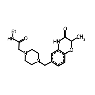 CCNC(=O)CN1CCN(Cc2ccc3c(c2)NC(=O)C(C)O3)CC1